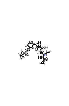 C=C/C=C(/NC(=O)C1CC1)C(C)(C)SC(=N)NC(=O)Cc1cccc(ONC(=O)OC(C)(C)C)c1